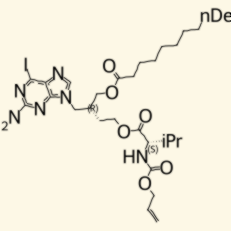 C=CCOC(=O)N[C@H](C(=O)OCC[C@@H](COC(=O)CCCCCCCCCCCCCCCCC)Cn1cnc2c(I)nc(N)nc21)C(C)C